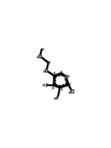 COCOc1cnc(Cl)c(F)c1I